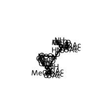 COC(=O)[C@H]1O[C@@H](Oc2ccc(COC(N)=O)cc2C(=O)NCCOCCN(CCOCCNC(O)c2cc(COC(N)=O)ccc2O[C@@H]2O[C@H](C(=O)OC)[C@@H](OC(C)=O)[C@H](OC(C)=O)[C@H]2OC(C)=O)CCOCCOCCON(C)C(=O)OC(C)(C)C)[C@H](OC(C)=O)[C@@H](OC(C)=O)[C@@H]1OC(C)=O